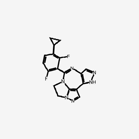 Fc1ccc(C2CC2)c(F)c1C1=Nc2cn[nH]c2-c2cnn3c2N1CC3